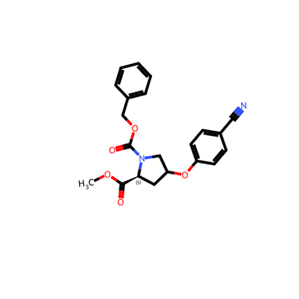 COC(=O)[C@@H]1CC(Oc2ccc(C#N)cc2)CN1C(=O)OCc1ccccc1